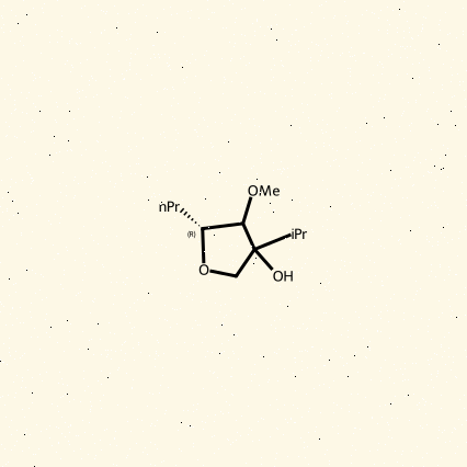 CCC[C@H]1OCC(O)(C(C)C)C1OC